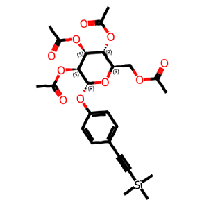 CC(=O)OC[C@H]1O[C@H](Oc2ccc(C#C[Si](C)(C)C)cc2)[C@@H](OC(C)=O)[C@@H](OC(C)=O)[C@@H]1OC(C)=O